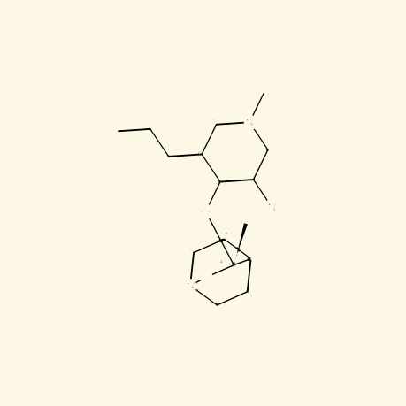 CCCC1CN(C)CC(N)C1O[C@H]1CN2CCC1CC2